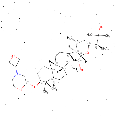 CC(=O)N[C@@H]([C@H]1C[C@@H](C)[C@H]2[C@H](O1)[C@H](O)[C@@]1(C)[C@@H]3CC[C@H]4C(C)(C)[C@@H](O[C@H]5CN(C6COC6)CCO5)CC[C@@]45C[C@@]35CC[C@]21C)C(C)(C)O